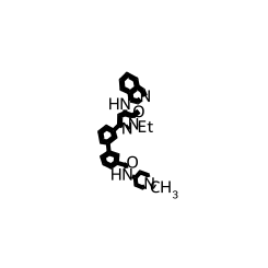 CCn1nc(-c2cccc(-c3cccc(C(=O)NC4CCN(C)CC4)c3)c2)cc(Nc2cncc3ccccc23)c1=O